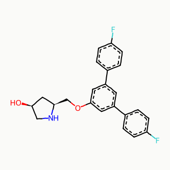 O[C@@H]1CN[C@H](COc2cc(-c3ccc(F)cc3)cc(-c3ccc(F)cc3)c2)C1